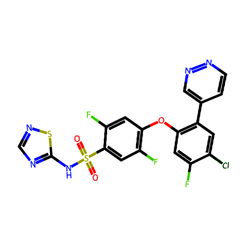 O=S(=O)(Nc1ncns1)c1cc(F)c(Oc2cc(F)c(Cl)cc2-c2ccnnc2)cc1F